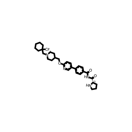 O=C(NC(=O)[C@@H]1CCCN1)c1ccc(-c2ccc(OCC3CCN(CC4(C(F)(F)F)CCCCC4)CC3)nc2)cc1